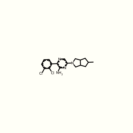 CC1CC2CN(c3cnc(-c4cccc(Cl)c4Cl)c(N)n3)CC2C1